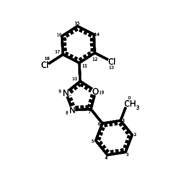 Cc1ccccc1-c1nnc(-c2c(Cl)cccc2Cl)o1